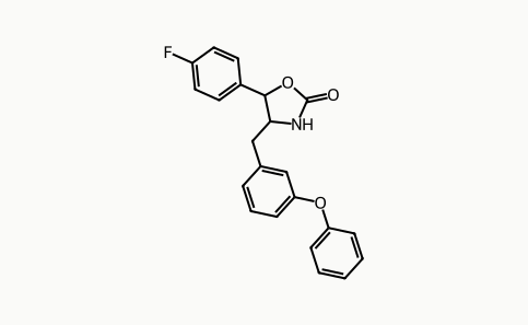 O=C1NC(Cc2cccc(Oc3ccccc3)c2)C(c2ccc(F)cc2)O1